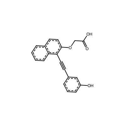 O=C(O)COc1ccc2ccccc2c1C#Cc1cccc(O)c1